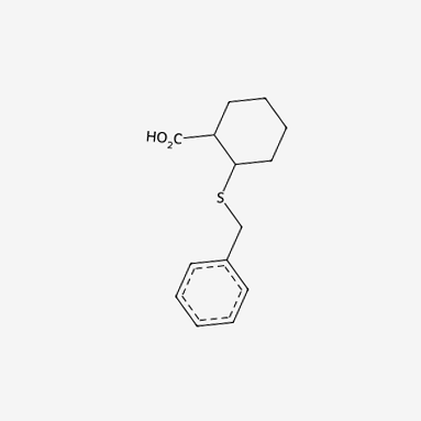 O=C(O)C1CCCCC1SCc1ccccc1